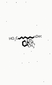 CC1CCCC[Si]1(C)C.CCCCCCCCCCCCCCCCCC(=O)O